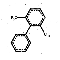 FC(F)(F)c1ccnc(C(F)(F)F)c1-c1ccccc1